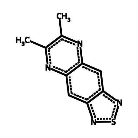 Cc1nc2cc3nsnc3cc2nc1C